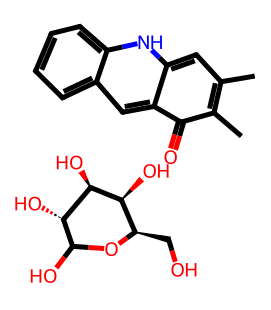 Cc1cc2[nH]c3ccccc3cc-2c(=O)c1C.OC[C@H]1OC(O)[C@H](O)[C@@H](O)[C@H]1O